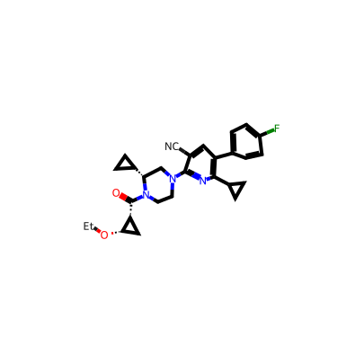 CCO[C@H]1C[C@H]1C(=O)N1CCN(c2nc(C3CC3)c(-c3ccc(F)cc3)cc2C#N)C[C@H]1C1CC1